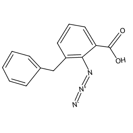 [N-]=[N+]=Nc1c(Cc2ccccc2)cccc1C(=O)O